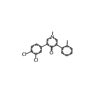 Cc1ccccc1-c1cn(C)cc(-c2ccc(Cl)c(Cl)c2)c1=O